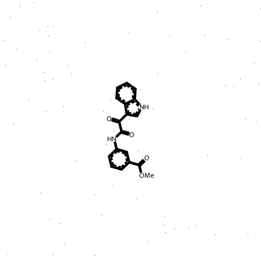 COC(=O)c1cccc(NC(=O)C(=O)c2c[nH]c3ccccc23)c1